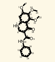 COc1cc2[nH]cc(C(=O)Nc3ccccc3)c(=O)c2c(OC)c1OC